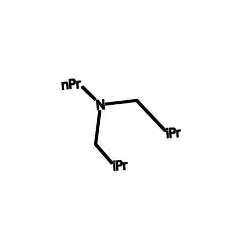 CCCN(CC(C)C)CC(C)C